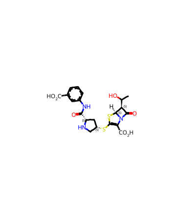 CC(O)[C@H]1C(=O)N2C(C(=O)O)=C(S[C@@H]3CN[C@H](C(=O)Nc4cccc(C(=O)O)c4)C3)S[C@@H]12